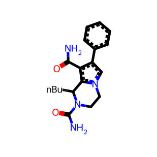 CCCCC1c2c(C(N)=O)c(-c3ccccc3)cn2CCN1C(N)=O